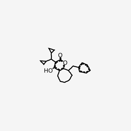 O=c1oc2c(c(O)c1C(C1CC1)C1CC1)CCCCCC2Cc1ccccc1